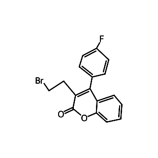 O=c1oc2ccccc2c(-c2ccc(F)cc2)c1CCBr